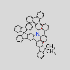 CC1(C)c2ccccc2-c2cc(-c3cc4c(cc3N(c3ccc5c6ccccc6c6ccccc6c5c3)c3ccccc3-c3ccccc3)C3(c5ccccc5-c5ccccc53)c3ccccc3-4)ccc21